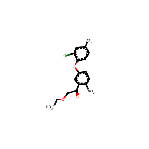 O=C(O)COCC(=O)c1cc(Oc2ccc(C(F)(F)F)cc2Cl)ccc1[N+](=O)[O-]